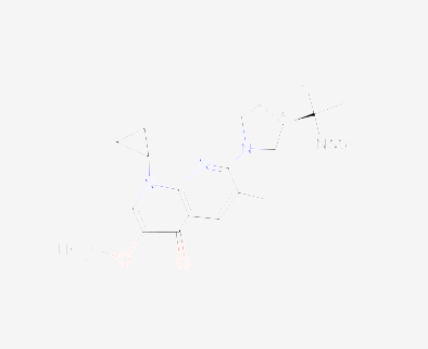 CNC(C)(C)[C@@H]1CCN(c2nc3c(cc2F)c(=O)c(OC(=O)O)cn3C2CC2)C1